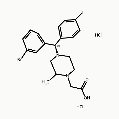 CC1CN([C@H](c2ccc(F)cc2)c2cccc(Br)c2)CCN1CC(=O)O.Cl.Cl